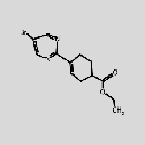 CCOC(=O)C1CC=C(c2ncc(Br)cn2)CC1